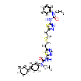 CN(C(=O)Nc1nnc(CCSCCc2nnc(NC(=O)N(C)c3ccc(C4CCCCC4)cc3)s2)s1)c1ccccc1